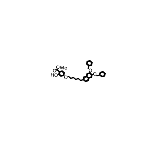 COC(=O)c1ccc(OCCCCCCc2ccc3cc(OCc4ccccc4)c(OCc4ccccc4)cc3c2)cc1O